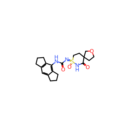 O=C(N=S1(=O)CCC2(CCOC2)C(=O)N1)Nc1c2c(cc3c1CCC3)CCC2